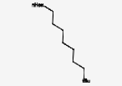 [CH2]CCCCCCCCCCCCC(C)(C)C